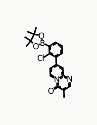 Cc1cnc2cc(-c3cccc(B4OC(C)(C)C(C)(C)O4)c3Cl)ccn2c1=O